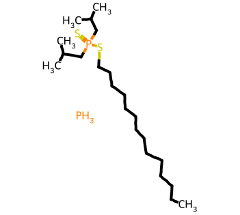 CCCCCCCCCCCCCCSP(=S)(CC(C)C)CC(C)C.P